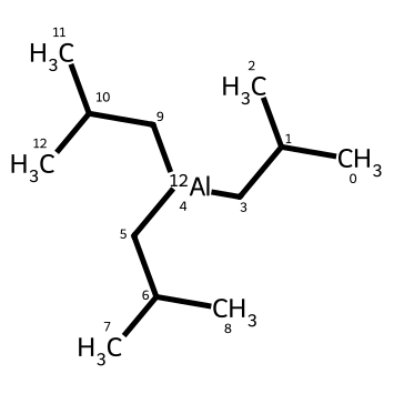 CC(C)[CH2][12Al]([CH2]C(C)C)[CH2]C(C)C